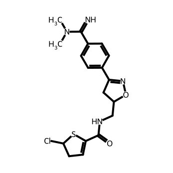 CN(C)C(=N)c1ccc(C2=NOC(CNC(=O)C3=CCC(Cl)S3)C2)cc1